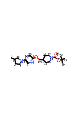 CC1CCN(c2cnc(OCC3CCN(C(=O)OC(C)(C)C)CC3)cn2)C1